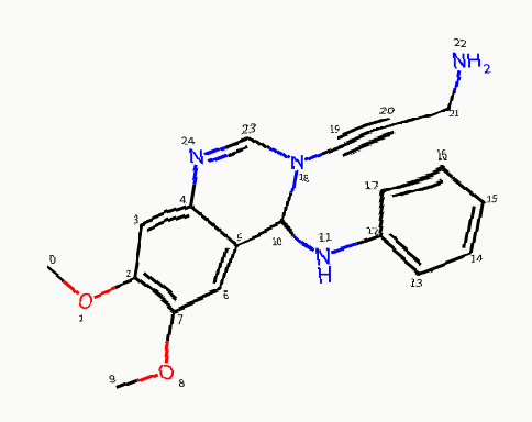 COc1cc2c(cc1OC)C(Nc1ccccc1)N(C#CCN)C=N2